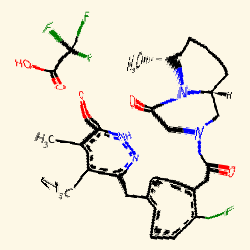 Cc1c(Cc2ccc(F)c(C(=O)N3CC(=O)N4[C@H](CCC[C@H]4C)C3)c2)n[nH]c(=O)c1C.O=C(O)C(F)(F)F